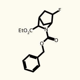 CCOC(=O)C1C2CC(F)C(C2)N1C(=O)OCc1ccccc1